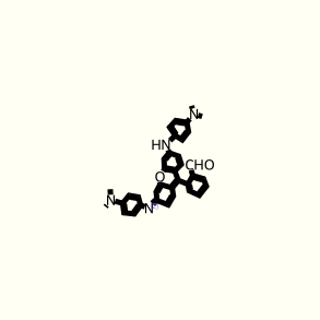 CN(C)c1ccc(/N=c2/ccc3c(-c4ccccc4C=O)c4ccc(Nc5ccc(N(C)C)cc5)cc4oc-3c2)cc1